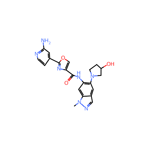 Cn1ncc2cc(N3CCC(O)C3)c(NC(=O)c3coc(-c4ccnc(N)c4)n3)cc21